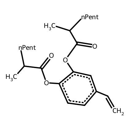 C=Cc1ccc(OC(=O)C(C)CCCCC)c(OC(=O)C(C)CCCCC)c1